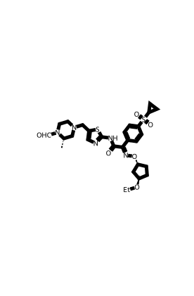 CCO[C@@H]1CC[C@@H](O/N=C(/C(=O)Nc2ncc(CN3CCN(C=O)[C@@H](C)C3)s2)c2ccc(S(=O)(=O)C3CC3)cc2)C1